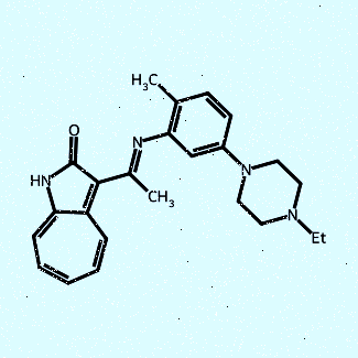 CCN1CCN(c2ccc(C)c(/N=C(\C)c3c4cccccc-4[nH]c3=O)c2)CC1